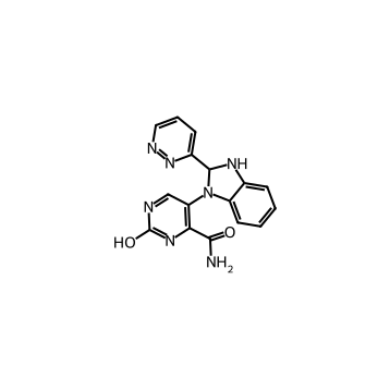 NC(=O)c1nc(O)ncc1N1c2ccccc2NC1c1cccnn1